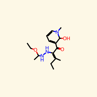 CCOC(C)NN/C(C(=O)C1=CC=CN(C)C1O)=C(/C)CC